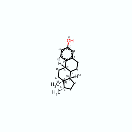 C[C@H]1CC[C@H]2C3CCc4cc(O)ccc4[C@H]3CC[C@]12C